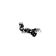 COc1cccc2c1CCCC(=O)N2CCC(=O)N[C@H](Cc1ccc2ccccc2c1)C(=O)NCC(O)CN